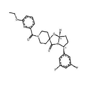 CCOc1cccc(C(=O)N2CCC3(CC2)O[C@@H]2CC[C@@H](c4cc(F)cc(F)c4)N2C3=O)n1